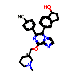 CN1CCC[C@@H](COc2nc(-c3ccc(C#N)cc3)c(-c3ccc4c(c3)CCC4O)n3ccnc23)C1